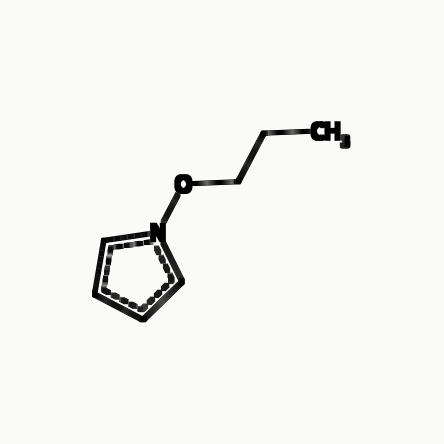 CCCOn1cccc1